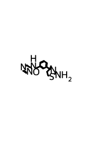 CC1(c2cccc(C(=O)Nc3cnccn3)c2)CCSC(N)=N1